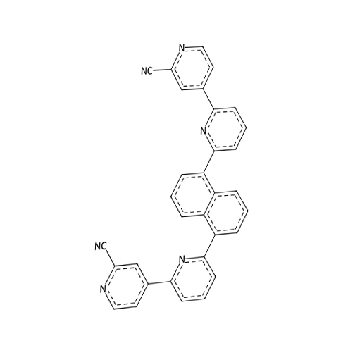 N#Cc1cc(-c2cccc(-c3cccc4c(-c5cccc(-c6ccnc(C#N)c6)n5)cccc34)n2)ccn1